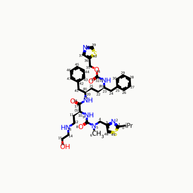 CC(C)c1nc(CN(C)C(=O)N[C@@H](CCNCCO)C(=O)N[C@H](CC[C@H](Cc2ccccc2)NC(=O)OCc2cncs2)Cc2ccccc2)cs1